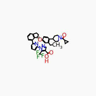 CCc1cc(O[C@H]2CCc3cccc(-c4cccc(-n5ncc(C(=O)O)c5C(F)(F)F)n4)c32)ccc1C1CCN(C(=O)C2CC2)CC1